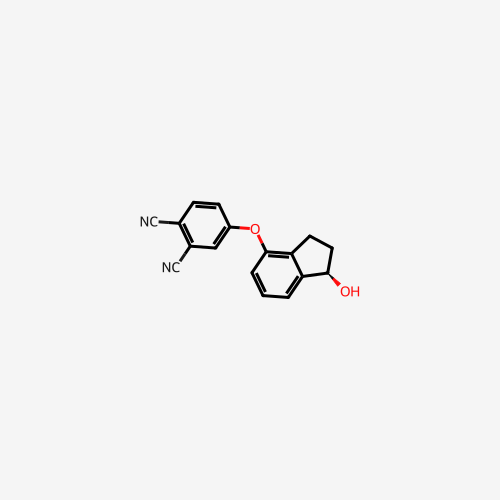 N#Cc1ccc(Oc2cccc3c2CC[C@H]3O)cc1C#N